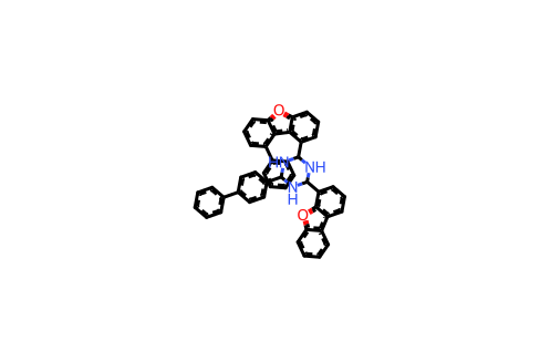 c1ccc(-c2ccc(C3NC(c4cccc5c4oc4ccccc45)NC(c4cccc5oc6cccc(-c7ccccc7)c6c45)N3)cc2)cc1